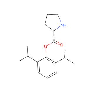 CC(C)c1cccc(C(C)C)c1OC(=O)[C@@H]1CCCN1